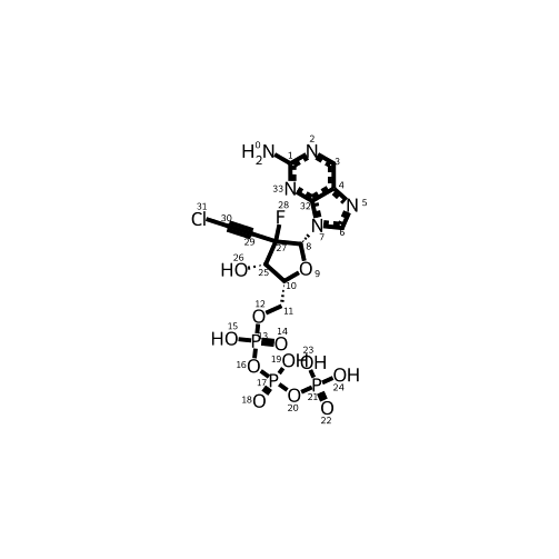 Nc1ncc2ncn([C@@H]3O[C@H](COP(=O)(O)OP(=O)(O)OP(=O)(O)O)[C@H](O)C3(F)C#CCl)c2n1